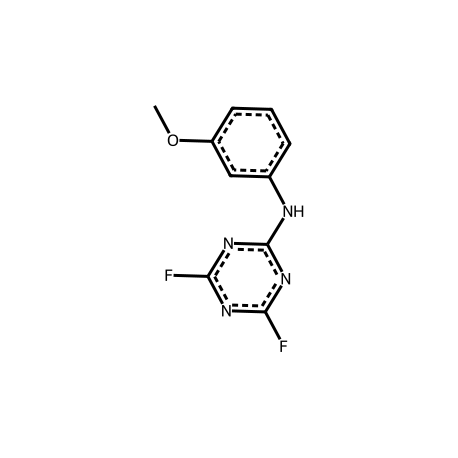 COc1cccc(Nc2nc(F)nc(F)n2)c1